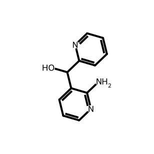 Nc1ncccc1C(O)c1ccccn1